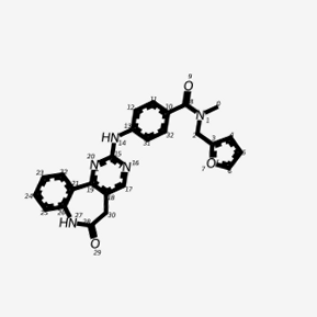 CN(Cc1ccco1)C(=O)c1ccc(Nc2ncc3c(n2)-c2ccccc2NC(=O)C3)cc1